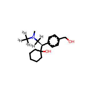 [2H]C([2H])([2H])N(C)C([2H])([2H])[C@@H](c1ccc(CO)cc1)C1(O)CCCCC1